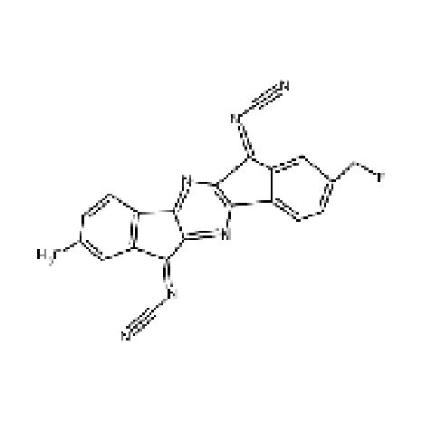 Cc1ccc2c(c1)/c(=N\C#N)c1nc3c(nc12)/c(=N/C#N)c1cc(CF)ccc13